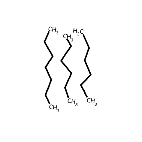 CCCCCC.CCCCCC.CCCCCCC